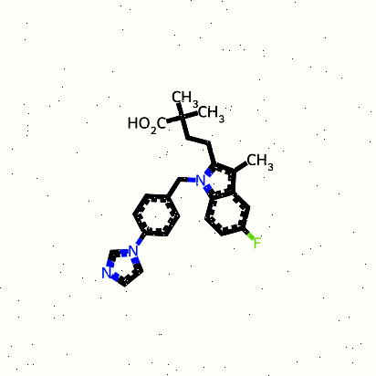 Cc1c(CCC(C)(C)C(=O)O)n(Cc2ccc(-n3ccnc3)cc2)c2ccc(F)cc12